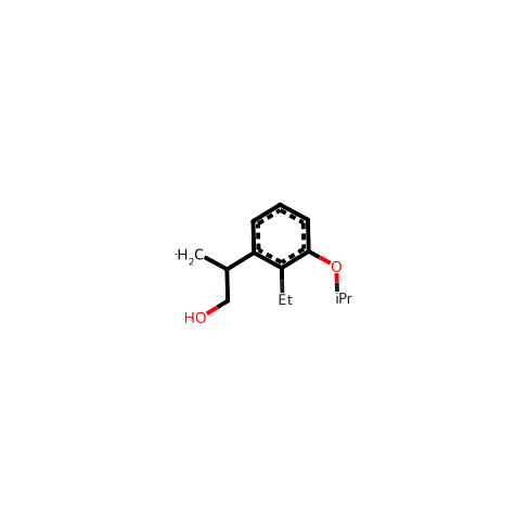 [CH2]C(CO)c1cccc(OC(C)C)c1CC